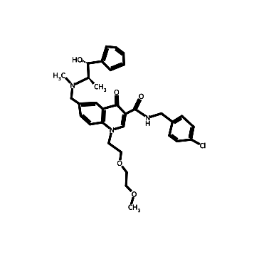 COCCOCCn1cc(C(=O)NCc2ccc(Cl)cc2)c(=O)c2cc(CN(C)[C@H](C)[C@H](O)c3ccccc3)ccc21